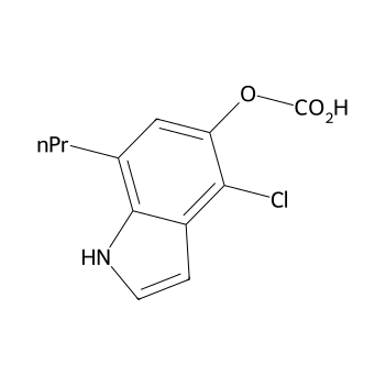 CCCc1cc(OC(=O)O)c(Cl)c2cc[nH]c12